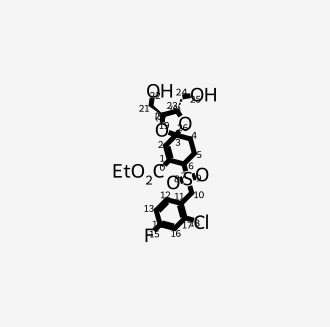 CCOC(=O)C1=CC2(CCC1S(=O)(=O)Cc1ccc(F)cc1Cl)O[C@@H](CO)[C@H](CO)O2